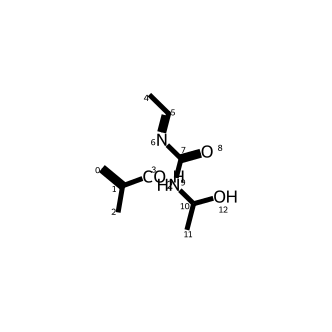 C=C(C)C(=O)O.CC=NC(=O)NC(C)O